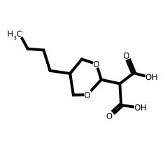 CCCCC1COC(C(C(=O)O)C(=O)O)OC1